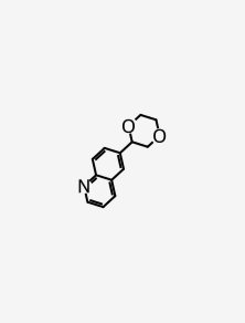 c1cnc2ccc(C3COCCO3)cc2c1